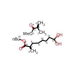 C=C(C)C(=O)OC.C=C(CCCCCC(O)O)C(=O)OCCCC